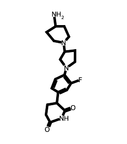 NC1CCN(C2CCN(c3ccc(C4CCC(=O)NC4=O)cc3F)C2)CC1